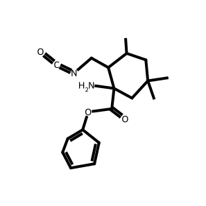 CC1CC(C)(C)CC(N)(C(=O)Oc2ccccc2)C1CN=C=O